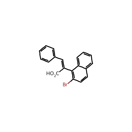 O=C(O)C(=Cc1ccccc1)c1c(Br)ccc2ccccc12